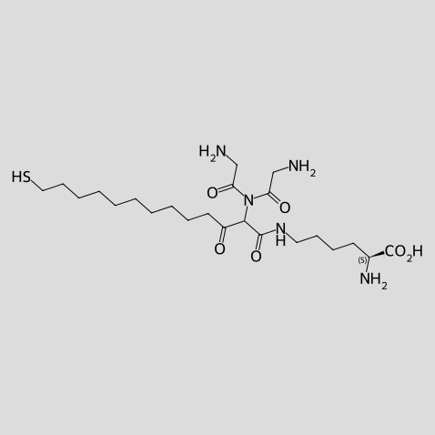 NCC(=O)N(C(=O)CN)C(C(=O)CCCCCCCCCCS)C(=O)NCCCC[C@H](N)C(=O)O